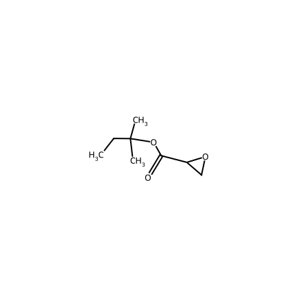 CCC(C)(C)OC(=O)C1CO1